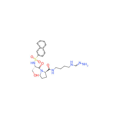 NN=CNCCCCNC(=O)[C@H]1CCCN1C(=O)[C@H](CO)NS(=O)(=O)c1ccc2ccccc2c1